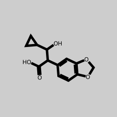 O=C(O)C(c1ccc2c(c1)OCO2)C(O)C1CC1